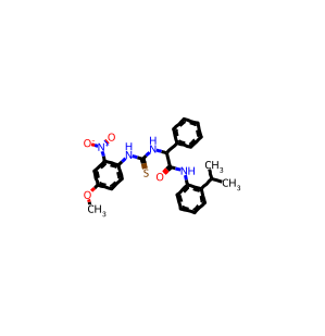 COc1ccc(NC(=S)NC(C(=O)Nc2ccccc2C(C)C)c2ccccc2)c([N+](=O)[O-])c1